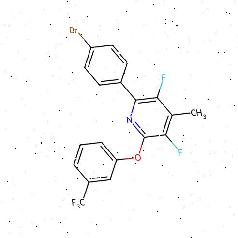 Cc1c(F)c(Oc2cccc(C(F)(F)F)c2)nc(-c2ccc(Br)cc2)c1F